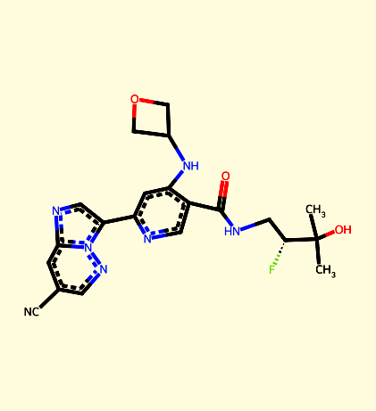 CC(C)(O)[C@H](F)CNC(=O)c1cnc(-c2cnc3cc(C#N)cnn23)cc1NC1COC1